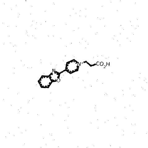 O=C(O)CC[n+]1ccc(-c2nc3ccccc3o2)cc1